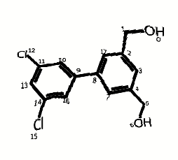 OCc1cc(CO)cc(-c2cc(Cl)cc(Cl)c2)c1